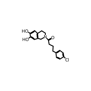 O=C(CCCc1ccc(Cl)cc1)N1CCc2cc(O)c(O)cc2C1